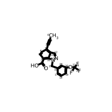 CC#Cc1ccc(C(=O)O)c2c1cnn2Cc1cccc(OC(F)(F)F)c1